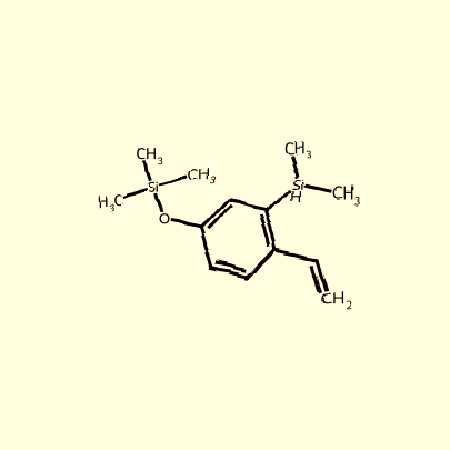 C=Cc1ccc(O[Si](C)(C)C)cc1[SiH](C)C